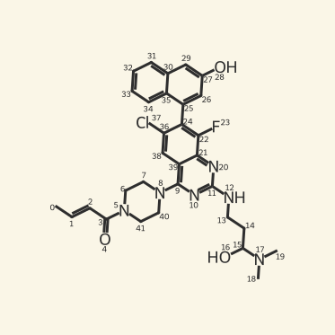 C/C=C/C(=O)N1CCN(c2nc(NCCC(O)N(C)C)nc3c(F)c(-c4cc(O)cc5ccccc45)c(Cl)cc23)CC1